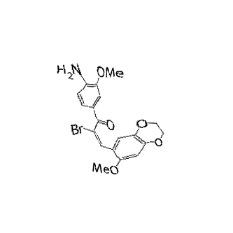 COc1cc(C(=O)/C(Br)=C\c2cc3c(cc2OC)OCCO3)ccc1N